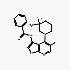 CC1(N)CCCN(c2c(F)cnc3[nH]cc(NC(=O)c4cccnc4)c23)C1